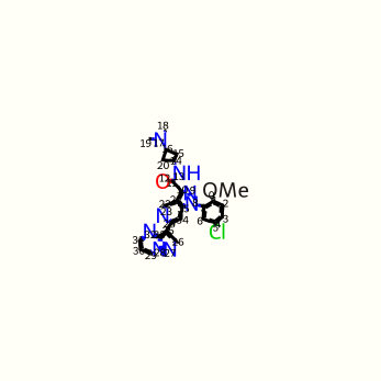 COc1ccc(Cl)cc1-n1nc(C(=O)N[C@H]2C[C@H](N(C)C)C2)c2cnc(-c3cnn4cccnc34)cc21